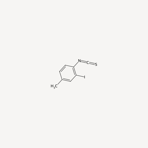 Cc1ccc(N=C=S)c(I)c1